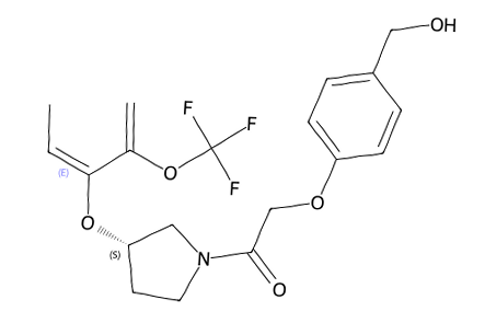 C=C(OC(F)(F)F)/C(=C\C)O[C@H]1CCN(C(=O)COc2ccc(CO)cc2)C1